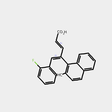 O=Cc1ccc2ccccc2c1C(=C\c1ccccc1F)/C=C/C(=O)O